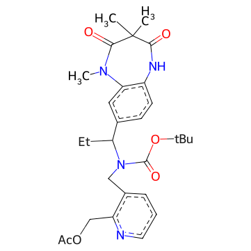 CCC(c1ccc2c(c1)N(C)C(=O)C(C)(C)C(=O)N2)N(Cc1cccnc1COC(C)=O)C(=O)OC(C)(C)C